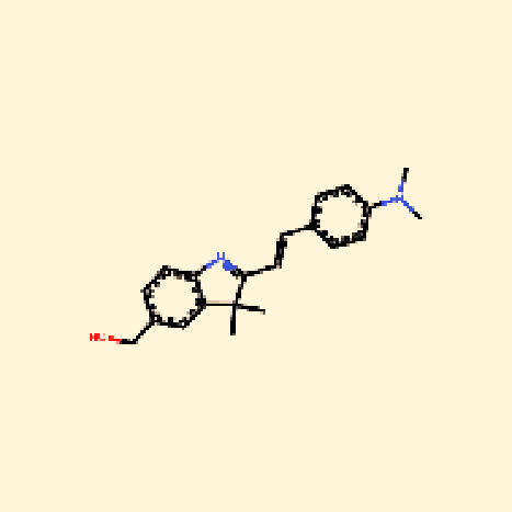 CN(C)c1ccc(C=CC2=Nc3ccc(CO)cc3C2(C)C)cc1